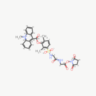 Cc1ccc(S(=O)(=O)NCC(=O)NCC(=O)ON2C(=O)CCC2=O)c(C)c1OC(=O)c1c2ccccc2[n+](C)c2ccccc12